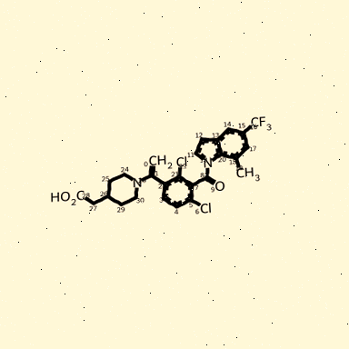 C=C(c1ccc(Cl)c(C(=O)n2ccc3cc(C(F)(F)F)cc(C)c32)c1Cl)N1CCC(CC(=O)O)CC1